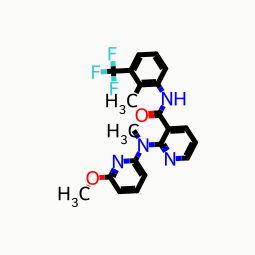 COc1cccc(N(C)c2ncccc2C(=O)Nc2cccc(C(F)(F)F)c2C)n1